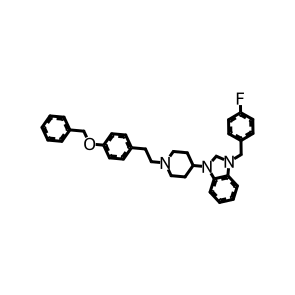 Fc1ccc(CN2CN(C3CCN(CCc4ccc(OCc5ccccc5)cc4)CC3)c3ccccc32)cc1